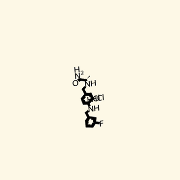 C[C@H](NCc1ccc(NCc2cccc(F)c2)cc1)C(N)=O.Cl.Cl